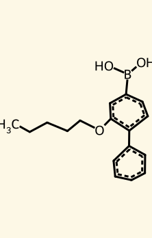 CCCCCOc1cc(B(O)O)ccc1-c1ccccc1